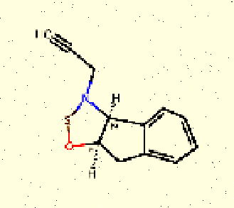 C#CCN1SO[C@@H]2Cc3ccccc3[C@@H]21